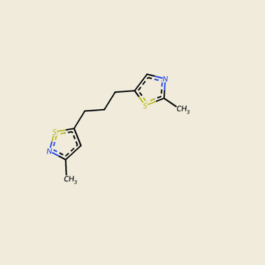 Cc1cc(CCCc2cnc(C)s2)sn1